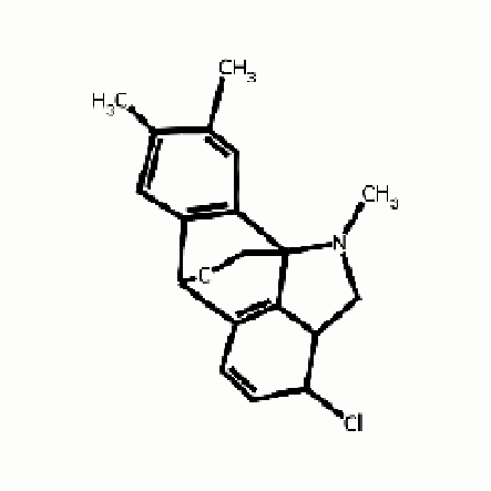 Cc1cc2c(cc1C)C13CCC2C2=C1C(CN3C)C(Cl)C=C2